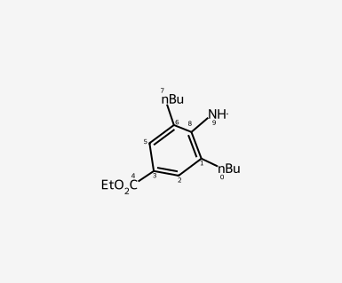 CCCCc1cc(C(=O)OCC)cc(CCCC)c1[NH]